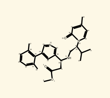 COC(=O)C[C@H](NC[C@H](C(C)C)n1ccc(C)cc1=O)c1cncc(-c2c(C)cccc2C)c1